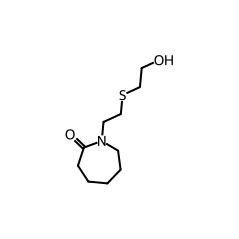 O=C1CCCCCN1CCSCCO